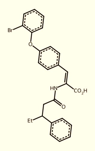 CCC(CC(=O)NC(=Cc1ccc(Oc2ccccc2Br)cc1)C(=O)O)c1ccccc1